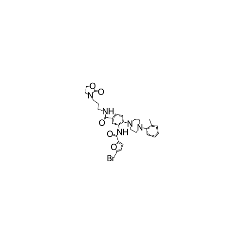 Cc1ccccc1N1CCN(c2ccc(C(=O)NCCCN3CCOC3=O)cc2NC(=O)c2ccc(Br)o2)CC1